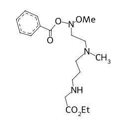 CCOC(=O)CNCCCN(C)CCN(OC)OC(=O)c1ccccc1